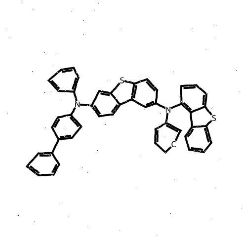 C1=CC(N(c2ccc3sc4cc(N(c5ccccc5)c5ccc(-c6ccccc6)cc5)ccc4c3c2)c2cccc3sc4ccccc4c23)=CCC1